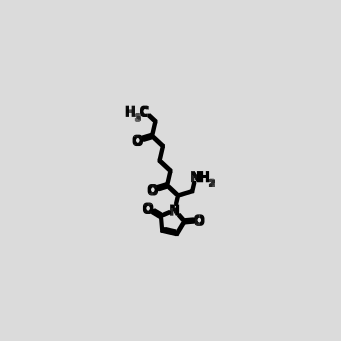 CCC(=O)CCCC(=O)C(CN)N1C(=O)C=CC1=O